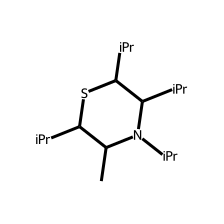 CC(C)C1SC(C(C)C)C(C(C)C)N(C(C)C)C1C